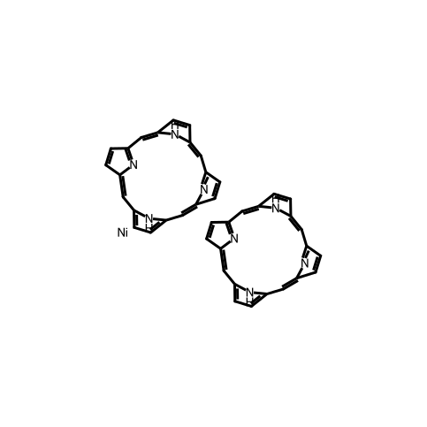 C1=Cc2cc3ccc(cc4nc(cc5ccc(cc1n2)[nH]5)C=C4)[nH]3.C1=Cc2cc3ccc(cc4nc(cc5ccc(cc1n2)[nH]5)C=C4)[nH]3.[Ni]